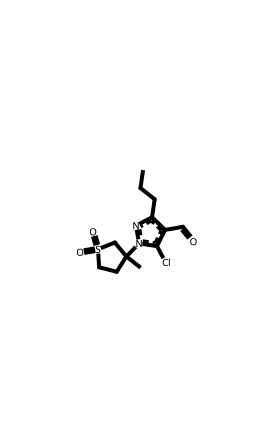 CCCc1nn(C2(C)CCS(=O)(=O)C2)c(Cl)c1C=O